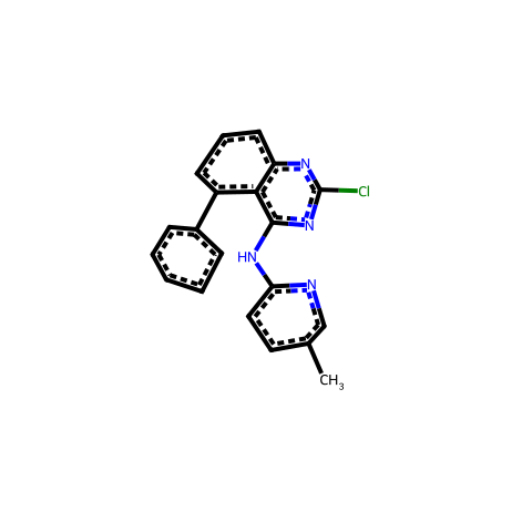 Cc1ccc(Nc2nc(Cl)nc3cccc(-c4ccccc4)c23)nc1